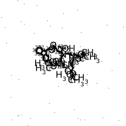 CC(C)(C)OC(=O)CN1CCN(CC(=O)OC(C)(C)C)CCN([C@H]2CN(C(=O)OCC3c4ccccc4-c4ccccc43)C[C@@H]2O)CCN(CC(=O)OC(C)(C)C)CC1